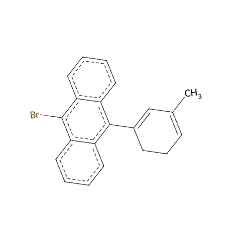 CC1=CCCC(c2c3ccccc3c(Br)c3ccccc23)=C1